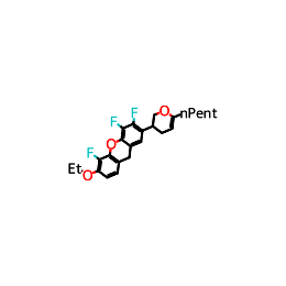 CCCCCC1=CCC(c2cc3c(c(F)c2F)Oc2c(ccc(OCC)c2F)C3)CO1